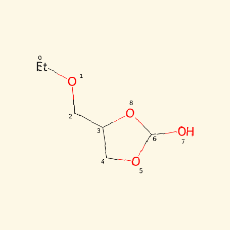 CCOCC1COC(O)O1